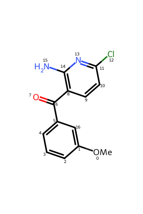 COc1cccc(C(=O)c2ccc(Cl)nc2N)c1